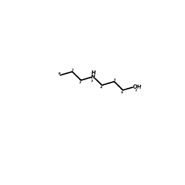 CCCN[CH]CCO